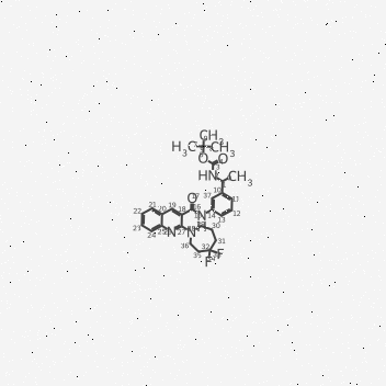 CC(NC(=O)OC(C)(C)C)c1cccc(NC(=O)c2cc3ccccc3nc2N2CCCC(F)(F)CC2)c1